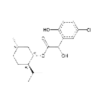 CC(C)[C@H]1CC[C@H](C)C[C@@H]1OC(=O)C(O)c1cc(Cl)ccc1O